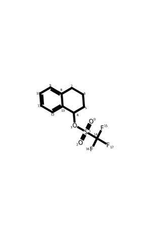 O=S(=O)(OC1CCCc2ccccc21)C(F)(F)F